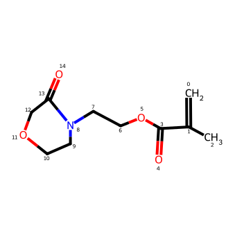 C=C(C)C(=O)OCCN1CCOCC1=O